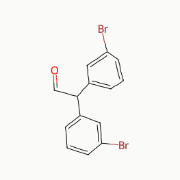 O=CC(c1cccc(Br)c1)c1cccc(Br)c1